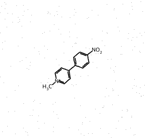 C[n+]1ccc(-c2ccc([N+](=O)[O-])cc2)cc1